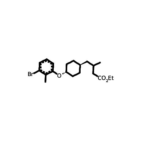 CCOC(=O)CC(C)C[C@H]1CC[C@H](Oc2cccc(Br)c2C)CC1